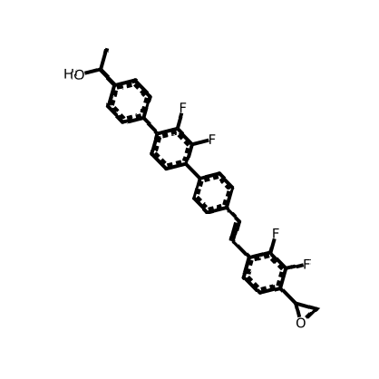 CC(O)c1ccc(-c2ccc(-c3ccc(/C=C/c4ccc(C5CO5)c(F)c4F)cc3)c(F)c2F)cc1